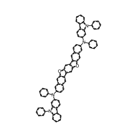 c1ccc(N(c2ccc3cc4c(cc3c2)oc2cc3c(cc24)oc2cc4cc(N(c5ccccc5)c5ccc6c7ccccc7n(-c7ccccc7)c6c5)ccc4cc23)c2ccc3c4ccccc4n(-c4ccccc4)c3c2)cc1